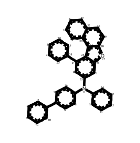 c1ccc(-c2ccc(N(c3ccccc3)c3cc(-c4ccccc4)c4c(c3)oc3ccc5ccccc5c34)cc2)cc1